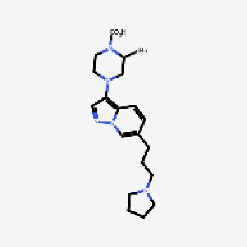 CC(C)(C)C1CN(c2cnn3cc(CCCN4CCCC4)ccc23)CCN1C(=O)O